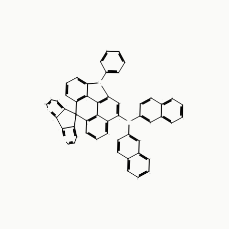 c1ccc(-n2c3cccc4c3c3c5c(cccc5c(N(c5ccc6ccccc6c5)c5ccc6ccccc6c5)cc32)C42c3cccnc3-c3ncccc32)cc1